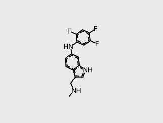 CNCc1c[nH]c2cc(Nc3cc(F)c(F)cc3F)ccc12